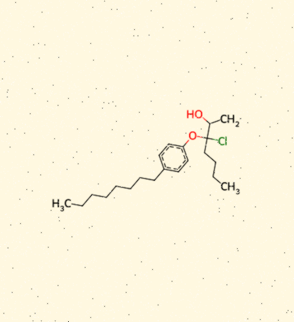 [CH2]C(O)C(Cl)(CCCC)Oc1ccc(CCCCCCCC)cc1